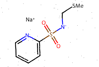 CSC[N-]S(=O)(=O)c1ccccn1.[Na+]